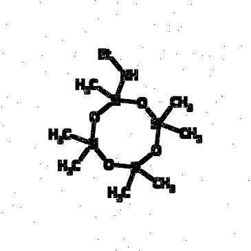 CCN[Si]1(C)O[Si](C)(C)O[Si](C)(C)O[Si](C)(C)O1